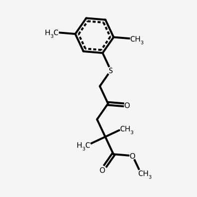 COC(=O)C(C)(C)CC(=O)CSc1cc(C)ccc1C